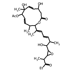 CCC(=O)C(C)C1OC1C(O)C(C)/C=C/C=C(\C)C1OC(=O)CC(O)/C=C/C(C)(O)C(OC(C)=O)/C=C/C1C